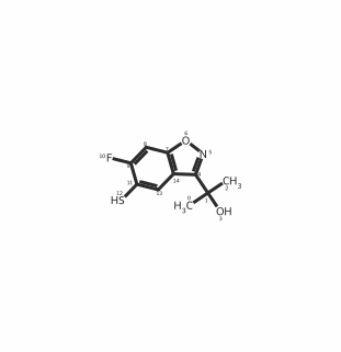 CC(C)(O)c1noc2cc(F)c(S)cc12